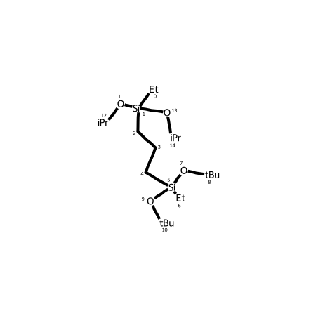 CC[Si](CCC[Si](CC)(OC(C)(C)C)OC(C)(C)C)(OC(C)C)OC(C)C